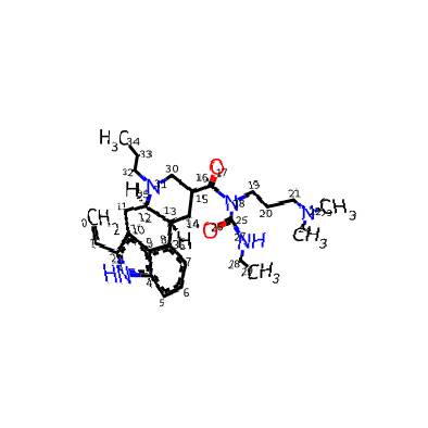 C=Cc1[nH]c2cccc3c2c1C[C@@H]1[C@@H]3CC(C(=O)N(CCCN(C)C)C(=O)NCC)CN1CCC